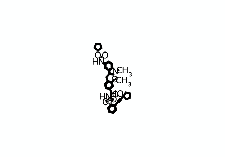 COc1cc(C(=O)NS(=O)(=O)c2ccccc2C#CC2(O)CCCC2)ccc1Cc1cn(C)c2ccc(NC(=O)OC3CCCC3)cc12